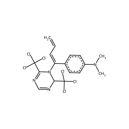 C=CC=C(c1ccc(N(C)C)cc1)N1C(C(Cl)(Cl)Cl)=NC=NC1C(Cl)(Cl)Cl